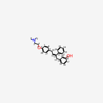 CN(C)CCOc1ccc(CC=C(Cc2cccc(O)c2)c2ccccc2)cc1